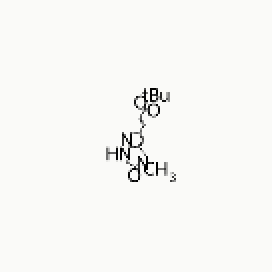 CN1Cc2cc(/C=C/C(=O)OC(C)(C)C)cnc2NCC1=O